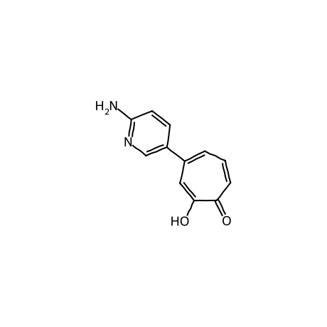 Nc1ccc(-c2cccc(=O)c(O)c2)cn1